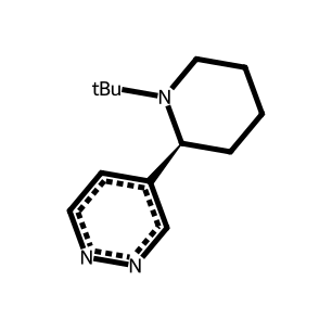 CC(C)(C)N1CCCC[C@H]1c1ccnnc1